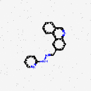 C(=NNc1ccccn1)c1ccc2ncc3ccccc3c2c1